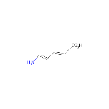 N/C=C/C=C/C(=O)O